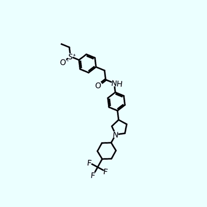 CC[S+]([O-])c1ccc(CC(=O)Nc2ccc(C3CCN(C4CCC(C(F)(F)F)CC4)C3)cc2)cc1